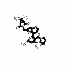 Cc1cc(C(F)(F)F)nc(-c2ccnc3cc(CN4C(=O)C5C(C4=O)C5(C)C)sc23)c1C(=O)N1CCC(F)(F)C1